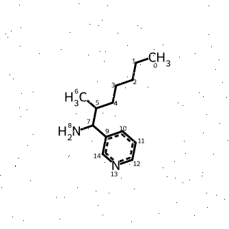 CCCCCC(C)C(N)c1cccnc1